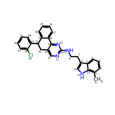 Cc1cccc2c(CCNc3ncc4c(n3)-c3ccccc3C(c3ccccc3Cl)C4)c[nH]c12